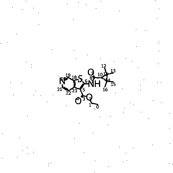 CCOC(=O)c1c(NC(=O)C2C(C)(C)C2(C)C)sc2cnccc12